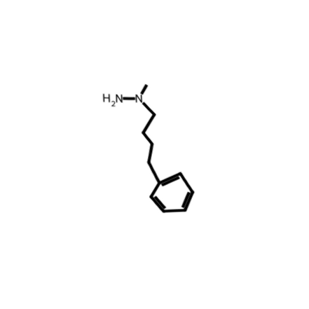 CN(N)CCCCc1ccccc1